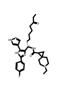 CCC(=O)CCCCC[C@H](NC(=O)C1CC12CCN(CC)CC2)c1nc(-c2ccc(F)cc2)[nH]c1-c1cn[nH]c1